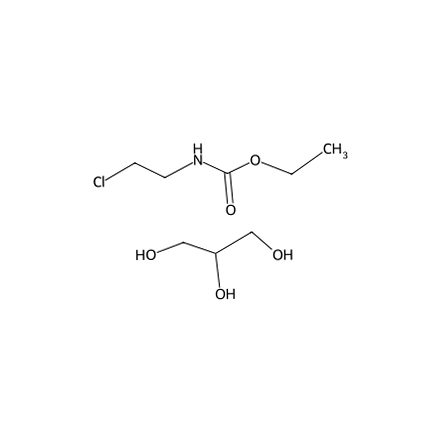 CCOC(=O)NCCCl.OCC(O)CO